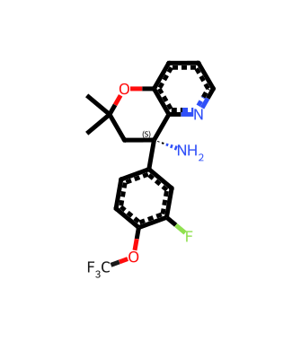 CC1(C)C[C@](N)(c2ccc(OC(F)(F)F)c(F)c2)c2ncccc2O1